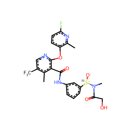 Cc1nc(F)ccc1Oc1ncc(C(F)(F)F)c(C)c1C(=O)Nc1cccc([S@@+]([O-])N(C)C(=O)CO)c1